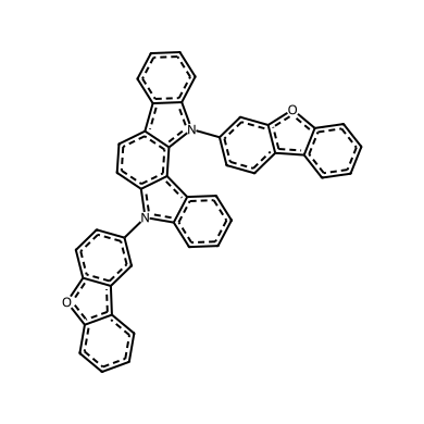 c1ccc2c(c1)oc1cc(-n3c4ccccc4c4ccc5c(c6ccccc6n5-c5ccc6oc7ccccc7c6c5)c43)ccc12